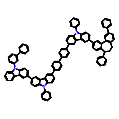 c1ccc(-c2cccc(-n3c4ccccc4c4cc(-c5ccc6c(c5)c5cc(-c7ccc(-c8ccc(-c9ccc%10c(c9)c9cc(-c%11ccc%12c(c%11)-c%11cc(-c%13ccccc%13)ccc%11CCC%12c%11ccccc%11)ccc9n%10-c9ccccc9)cc8)cc7)ccc5n6-c5ccccc5)ccc43)c2)cc1